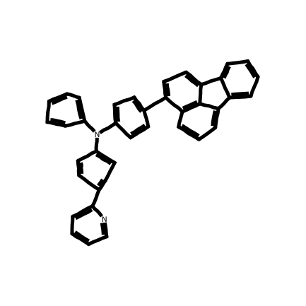 c1ccc(N(c2ccc(-c3ccccn3)cc2)c2ccc(-c3ccc4c5c(cccc35)-c3ccccc3-4)cc2)cc1